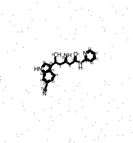 CC(CC(=N)CC(=O)Nc1ccccn1)c1c[nH]c2cc(C#N)ccc12